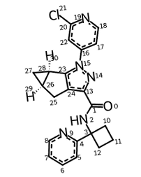 O=C(NC1(c2ccccn2)CCC1)c1nn(-c2ccnc(Cl)c2)c2c1C[C@H]1C[C@@H]21